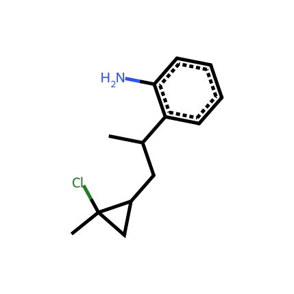 CC(CC1CC1(C)Cl)c1ccccc1N